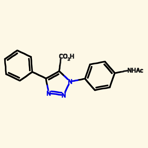 CC(=O)Nc1ccc(-n2nnc(-c3ccccc3)c2C(=O)O)cc1